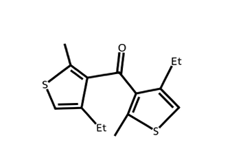 CCc1csc(C)c1C(=O)c1c(CC)csc1C